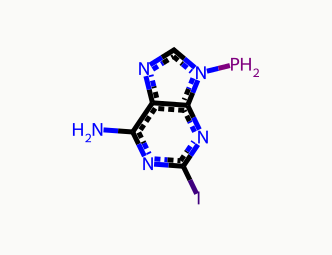 Nc1nc(I)nc2c1ncn2P